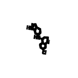 Clc1ccc2c(Nc3ccc4cn[nH]c4c3)ccnc2c1